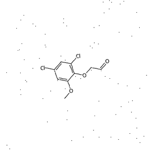 COc1cc(Cl)cc(Cl)c1OC[C]=O